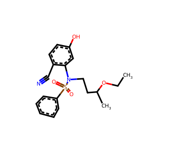 CCOC(C)CCN(c1cc(O)ccc1C#N)S(=O)(=O)c1ccccc1